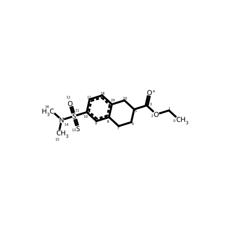 CCOC(=O)C1CCc2cc(S(=O)(=S)N(C)C)ccc2C1